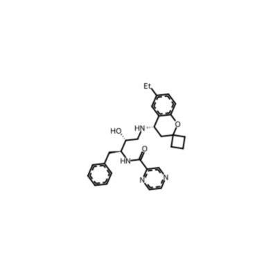 CCc1ccc2c(c1)[C@@H](NC[C@@H](O)[C@H](Cc1ccccc1)NC(=O)c1cnccn1)CC1(CCC1)O2